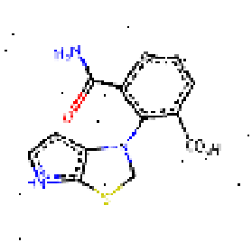 NC(=O)c1cccc(C(=O)O)c1N1CSc2[nH]ccc21